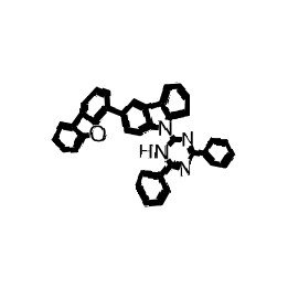 c1ccc(C2=NC(n3c4ccccc4c4cc(-c5cccc6c5oc5ccccc56)ccc43)NC(c3ccccc3)=N2)cc1